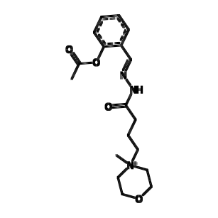 CC(=O)Oc1ccccc1C=NNC(=O)CCC[N+]1(C)CCOCC1